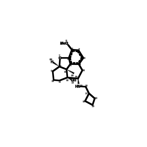 COc1ccc2c3c1O[C@@H]1CCC[C@](O)([C@@H](NCC4CCC4)C2)[C@]31C